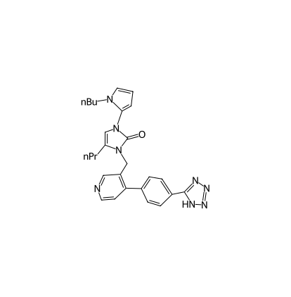 CCCCn1cccc1-n1cc(CCC)n(Cc2cnccc2-c2ccc(-c3nnn[nH]3)cc2)c1=O